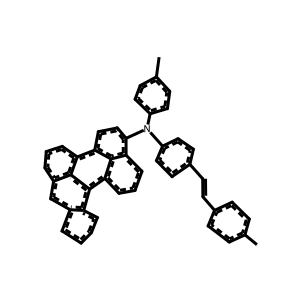 Cc1ccc(C=Cc2ccc(N(c3ccc(C)cc3)c3ccc4c5cccc6cc7ccccc7c(c7cccc3c47)c65)cc2)cc1